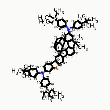 CC[Si](CC)(CC)c1ccc(N(c2ccc(C(C)(C)C)cc2)c2ccc3c(c2)C(C)(C)c2ccc4c(c2-3)C2(c3cc5c(cc3-4)sc3cc(N(c4ccc(C(C)(C)C)cc4)c4ccc([Si](CC)(CC)CC)cc4)ccc35)C3CC4CC(C3)CC2C4)cc1